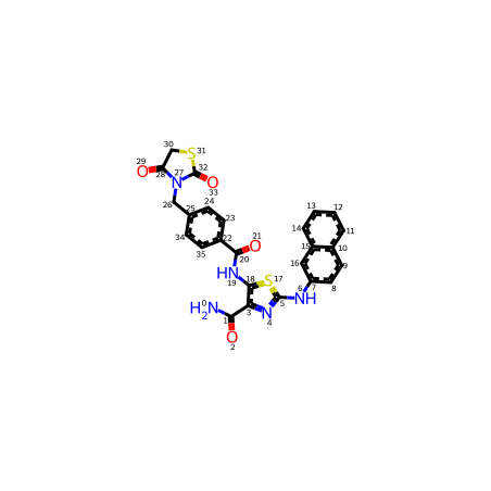 NC(=O)c1nc(Nc2ccc3ccccc3c2)sc1NC(=O)c1ccc(CN2C(=O)CSC2=O)cc1